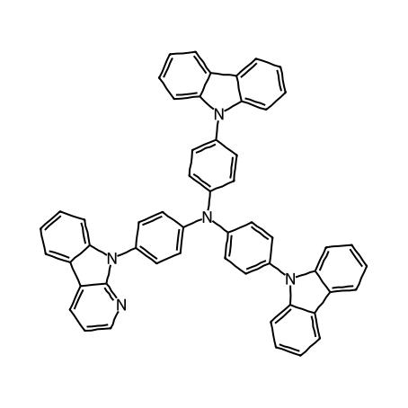 c1ccc2c(c1)c1ccccc1n2-c1ccc(N(c2ccc(-n3c4ccccc4c4ccccc43)cc2)c2ccc(-n3c4ccccc4c4cccnc43)cc2)cc1